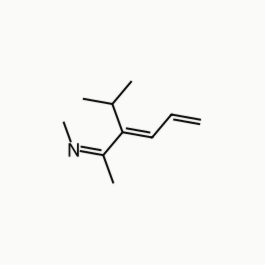 C=C/C=C(/C(C)=N\C)C(C)C